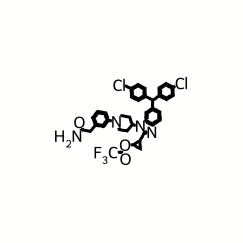 NC(=O)Cc1cccc(N2CCC(n3c(C4CC4OC(=O)C(F)(F)F)nc4ccc(C(c5ccc(Cl)cc5)c5ccc(Cl)cc5)cc43)CC2)c1